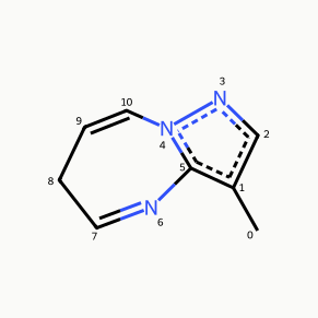 Cc1cnn2c1N=CCC=C2